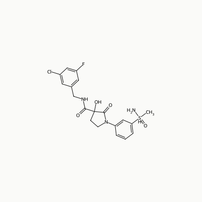 C[SH](N)(=O)c1cccc(N2CCC(O)(C(=O)NCc3cc(F)cc(Cl)c3)C2=O)c1